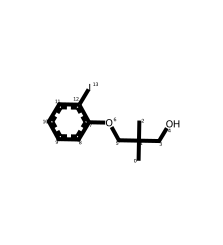 CC(C)(CO)COc1ccccc1I